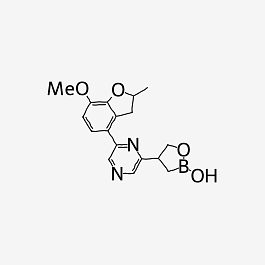 COc1ccc(-c2cncc(C3COB(O)C3)n2)c2c1OC(C)C2